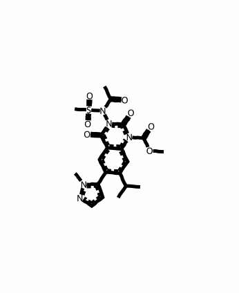 COC(=O)n1c(=O)n(N(C(C)=O)S(C)(=O)=O)c(=O)c2cc(-c3ccnn3C)c(C(C)C)cc21